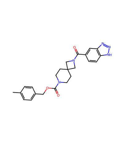 Cc1ccc(COC(=O)N2CCC3(CC2)CN(C(=O)c2ccc4[nH]nnc4c2)C3)cc1